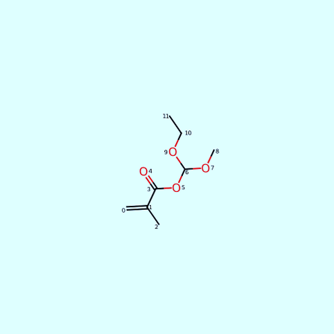 C=C(C)C(=O)OC(OC)OCC